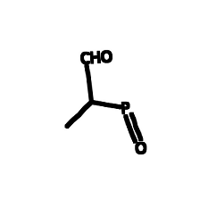 CC(C=O)P=O